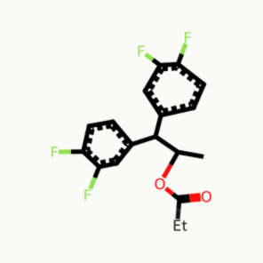 CCC(=O)OC(C)C(c1ccc(F)c(F)c1)c1ccc(F)c(F)c1